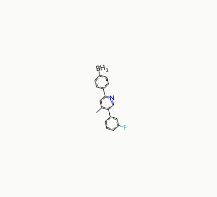 Bc1ccc(-c2cc(C)c(-c3cccc(F)c3)cn2)cc1